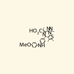 COc1ccc(Nc2ccc(C3=N[C@@H](C(C)C(=O)O)c4nnc(C)n4-c4sc(C)c(C)c43)cc2)cc1